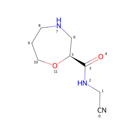 N#CCNC(=O)[C@@H]1CNCCCO1